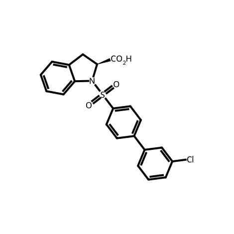 O=C(O)[C@@H]1Cc2ccccc2N1S(=O)(=O)c1ccc(-c2cccc(Cl)c2)cc1